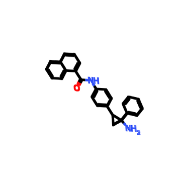 NC1(c2ccccc2)CC1c1ccc(NC(=O)c2cccc3ccccc23)cc1